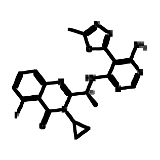 Cc1nnc(-c2c(N)ncnc2N[C@@H](C)c2nc3cccc(F)c3c(=O)n2C2CC2)o1